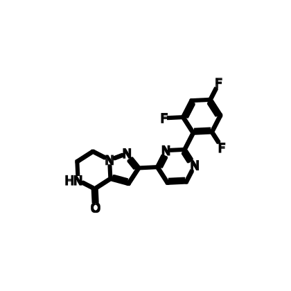 O=C1NCCn2nc(-c3ccnc(-c4c(F)cc(F)cc4F)n3)cc21